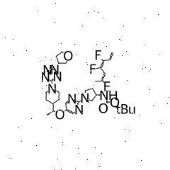 C=C/C(F)=C(F)\C=C(\F)C[C@H]1CN(c2ncc(O[C@@H](C)C3CCN(c4nnn([C@@H]5CCOC5)n4)CC3)cn2)C[C@@H]1NC(=O)OC(C)(C)C